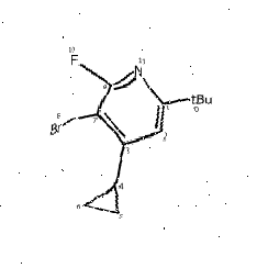 CC(C)(C)c1cc(C2CC2)c(Br)c(F)n1